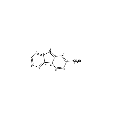 CCOC(=O)C1=NC2=Nc3ccccc3C2C=C1